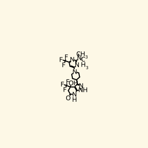 CN(C)c1nc(N2CCC(c3n[nH]c4c3C(O)(C(F)(F)F)CC(=O)N4)CC2)cc(C(F)(F)F)n1